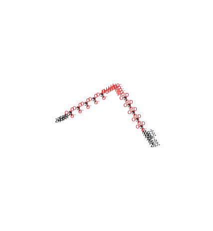 O=[Si]([O-])[O-].O=[Si]([O-])[O-].O=[Si]([O-])[O-].O=[Si]([O-])[O-].O=[Si]([O-])[O-].O=[Si]([O-])[O-].O=[Si]([O-])[O-].O=[Si]([O-])[O-].O=[Si]([O-])[O-].O=[Si]([O-])[O-].[Al+3].[Al+3].[Al+3].[Fe+3].[Fe+3].[Fe+3].[Mg+2].[Mg+2].[Mg+2].[OH-].[OH-].[OH-].[OH-].[OH-].[OH-].[OH-].[OH-].[OH-].[OH-].[Zn+2].[Zn+2].[Zn+2]